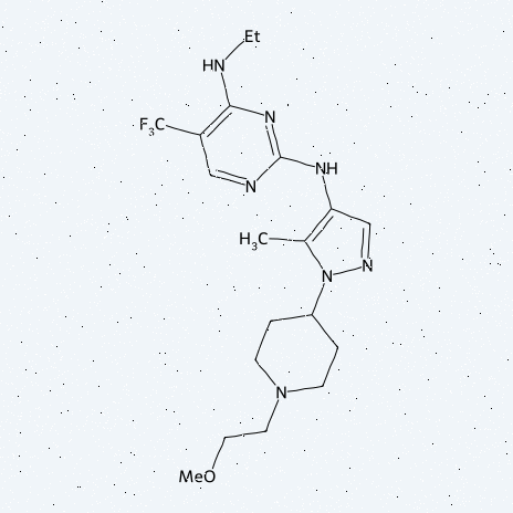 CCNc1nc(Nc2cnn(C3CCN(CCOC)CC3)c2C)ncc1C(F)(F)F